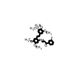 COc1cc(C=Cc2cc(OC)c(OC)c(OC)c2)c(NC=CC(=O)c2cccc(F)c2)cc1OC